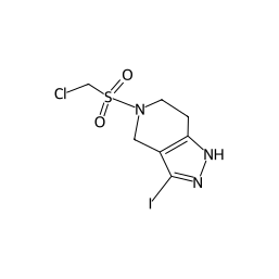 O=S(=O)(CCl)N1CCc2[nH]nc(I)c2C1